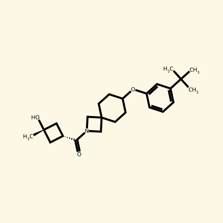 CC(C)(C)c1cccc(OC2CCC3(CC2)CN(C(=O)[C@H]2C[C@@](C)(O)C2)C3)c1